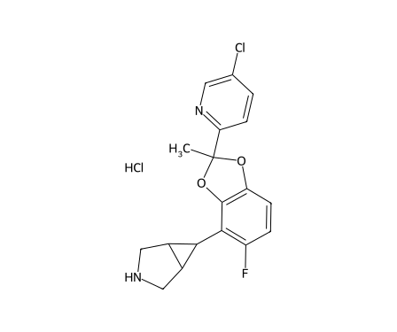 CC1(c2ccc(Cl)cn2)Oc2ccc(F)c(C3C4CNCC43)c2O1.Cl